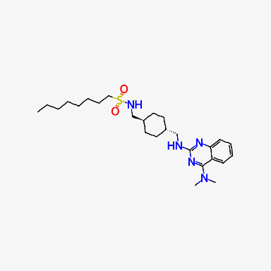 CCCCCCCCS(=O)(=O)NC[C@H]1CC[C@H](CNc2nc(N(C)C)c3ccccc3n2)CC1